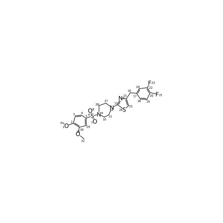 COc1ccc(S(=O)(=O)N2CCN(c3nc(Cc4ccc(F)c(F)c4)cs3)CC2)cc1OC